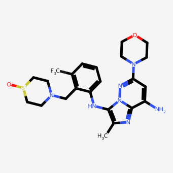 Cc1nc2c(N)cc(N3CCOCC3)nn2c1Nc1cccc(C(F)(F)F)c1CN1CC[S+]([O-])CC1